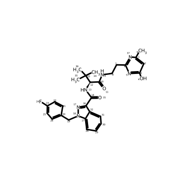 Cc1cc(O)nc(CCNC(=O)[C@@H](NC(=O)c2nn(Cc3ccc(F)cc3)c3ccccc23)C(C)(C)C)n1